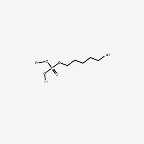 CCOP(=O)(OCC)OCCCCCO